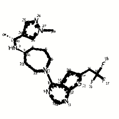 C[C@@H](N[C@H]1CCCN(c2ncnc3sc(CC(F)(F)F)cc23)CC1)c1cnn(C)c1